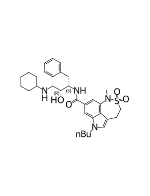 CCCCn1cc2c3c(cc(C(=O)N[C@@H](Cc4ccccc4)[C@H](O)CNC4CCCCC4)cc31)N(C)S(=O)(=O)CC2